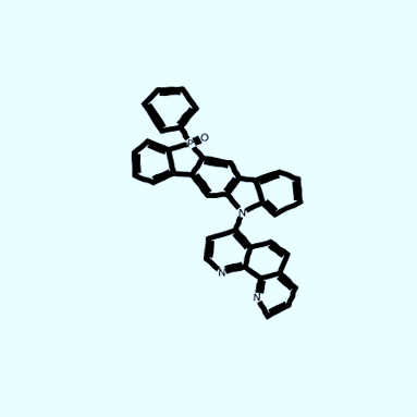 O=P1(c2ccccc2)c2ccccc2-c2cc3c(cc21)c1ccccc1n3-c1ccnc2c1ccc1cccnc12